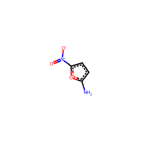 Nc1ccc([N+](=O)[O-])o1